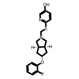 Oc1ccc(SCN2C[C@H]3C[C@H](Oc4ccccc4F)C[C@H]3C2)nc1